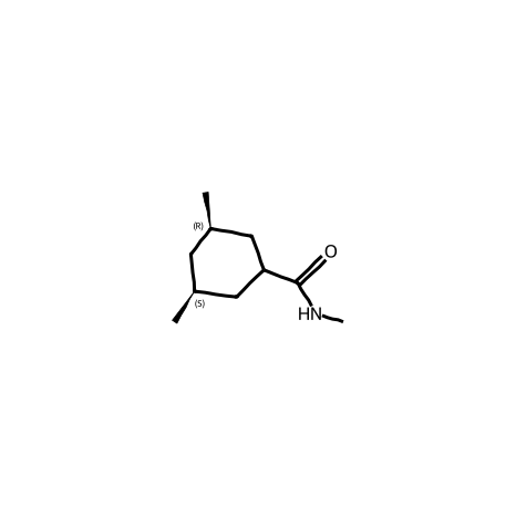 CNC(=O)C1C[C@@H](C)C[C@@H](C)C1